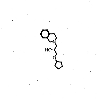 O[C@@H](COC1CCCC1)CN1CCc2ccccc2C1